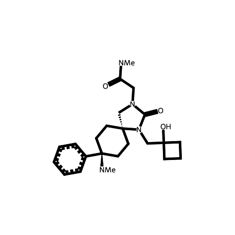 CNC(=O)CN1C[C@]2(CC[C@@](NC)(c3ccccc3)CC2)N(CC2(O)CCC2)C1=O